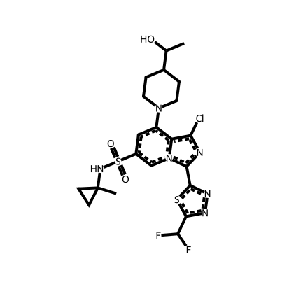 CC(O)C1CCN(c2cc(S(=O)(=O)NC3(C)CC3)cn3c(-c4nnc(C(F)F)s4)nc(Cl)c23)CC1